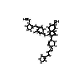 Cc1cc(Cc2c(-c3ccc(OCCN4CCCC4)cc3)sc3cc(O)ccc23)ccc1CN1CCC[C@H]1CO